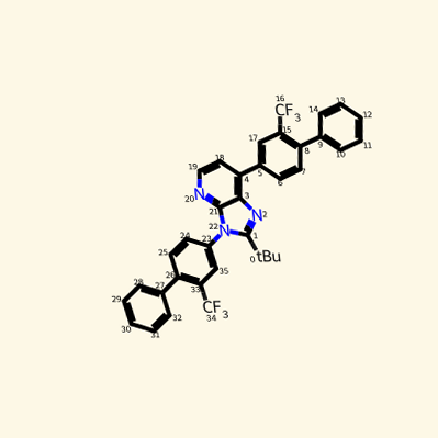 CC(C)(C)c1nc2c(-c3ccc(-c4ccccc4)c(C(F)(F)F)c3)ccnc2n1-c1ccc(-c2ccccc2)c(C(F)(F)F)c1